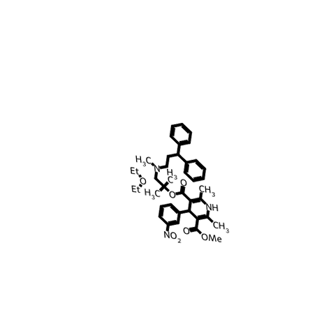 CCOCC.COC(=O)C1=C(C)NC(C)=C(C(=O)OC(C)(C)CN(C)CCC(c2ccccc2)c2ccccc2)C1c1cccc([N+](=O)[O-])c1